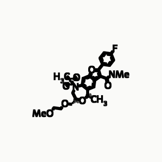 CNC(=O)c1c(-c2ccc(F)cc2)oc2cc3c(cc12)[C@H](C)O[C@H](COCCOC)CN3S(C)(=O)=O